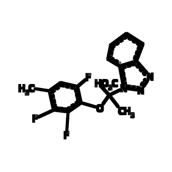 Cc1cc(F)c(OC(C)(C(=O)O)n2nnc3ccccc32)c(F)c1F